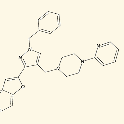 c1ccc(Cn2cc(CN3CCN(c4ccccn4)CC3)c(-c3cc4ccccc4o3)n2)cc1